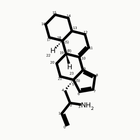 C=CC(N)C[C@@]12C=CC=C1C1=CCC3CCCC[C@@H]3[C@H]1CC2